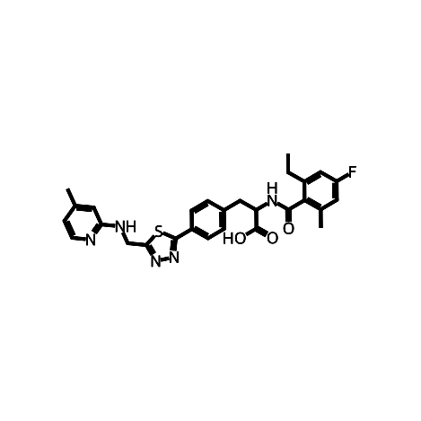 CCc1cc(F)cc(C)c1C(=O)NC(Cc1ccc(-c2nnc(CNc3cc(C)ccn3)s2)cc1)C(=O)O